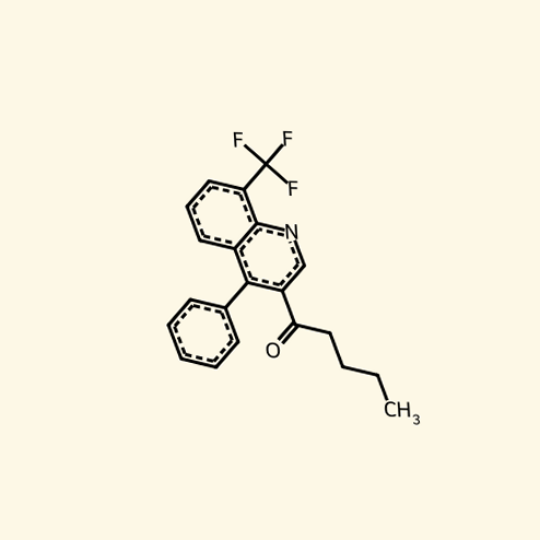 CCCCC(=O)c1cnc2c(C(F)(F)F)cccc2c1-c1ccccc1